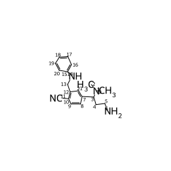 CN(C)C(CCN)c1ccc(C#N)c(CNc2ccccc2)c1